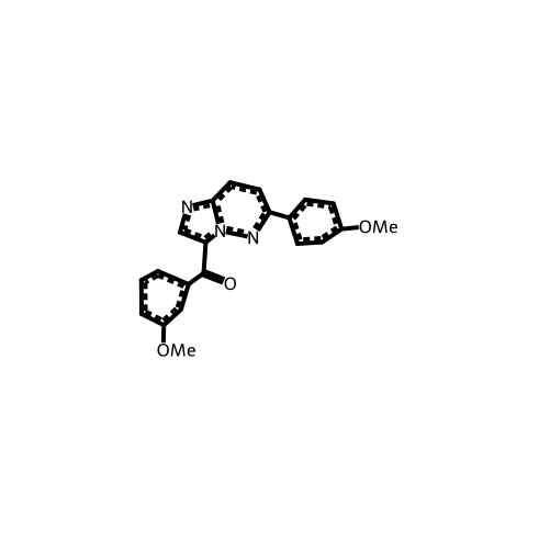 COc1ccc(-c2ccc3ncc(C(=O)c4cccc(OC)c4)n3n2)cc1